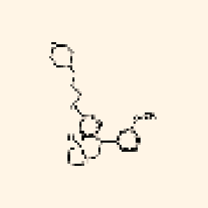 FC(F)(F)Sc1cccc([C@H]2CN3CCC[C@@H]3c3cc(OCCCN4CCOCC4)ccc32)c1